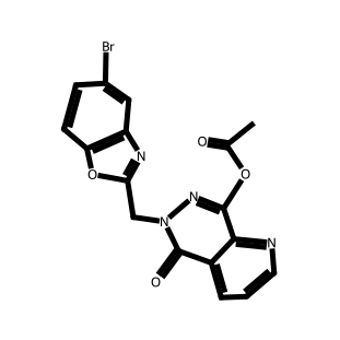 CC(=O)Oc1nn(Cc2nc3cc(Br)ccc3o2)c(=O)c2cccnc12